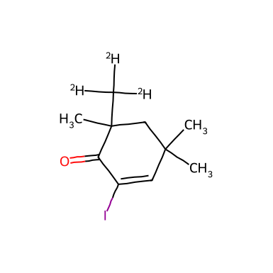 [2H]C([2H])([2H])C1(C)CC(C)(C)C=C(I)C1=O